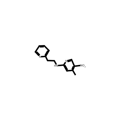 Cc1cc(NCCc2ccccn2)ncc1[N+](=O)[O-]